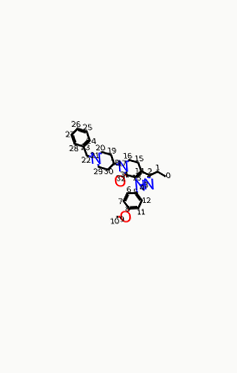 CCc1nn(-c2ccc(OC)cc2)c2c1CCN(C1CCN(Cc3ccccc3)CC1)C2=O